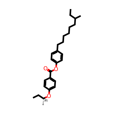 CCC(C)CCCCCCc1ccc(OC(=O)c2ccc(O[C@H](C)CC)cc2)cc1